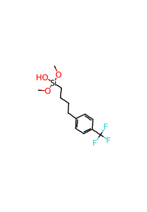 CO[Si](O)(CCCCc1ccc(C(F)(F)F)cc1)OC